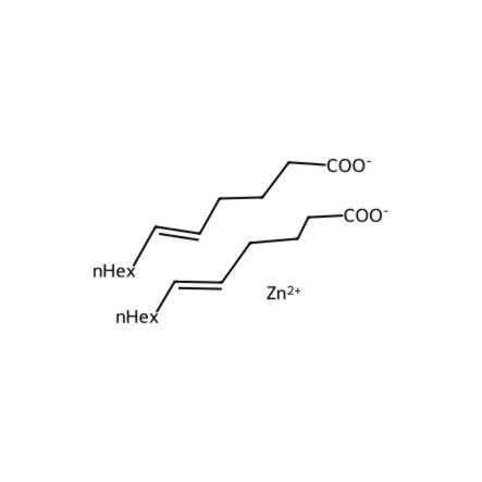 CCCCCCC=CCCCC(=O)[O-].CCCCCCC=CCCCC(=O)[O-].[Zn+2]